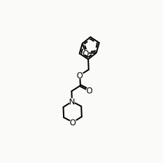 O=C(CN1CCOCC1)OCc1cc2ccc1o2